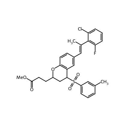 COC(=O)CCC1CC(S(=O)(=O)c2cccc(C)c2)c2cc(/C=C(\C)c3c(F)cccc3Cl)ccc2O1